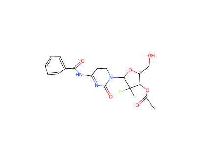 CC(=O)OC1C(CO)OC(n2ccc(NC(=O)c3ccccc3)nc2=O)C1(C)F